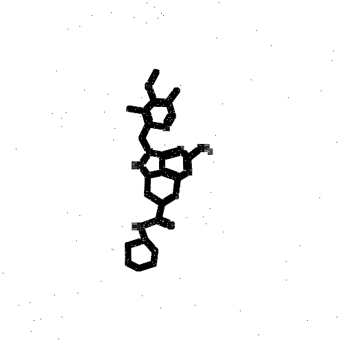 COc1c(C)cnc(CN2NC3CC(C(=O)NC4CCCCC4)Sc4nc(N)nc2c43)c1C